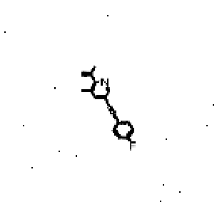 C=C(C)c1ncc(C#Cc2ccc(F)cc2)cc1C